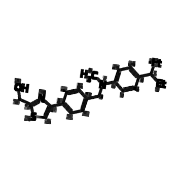 CCC(CC)c1ccc(N(C)Cc2ccc(-c3csc(CO)n3)cc2)cc1